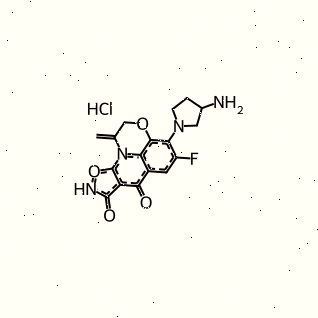 C=C1COc2c(N3CCC(N)C3)c(F)cc3c(=O)c4c(=O)[nH]oc4n1c23.Cl